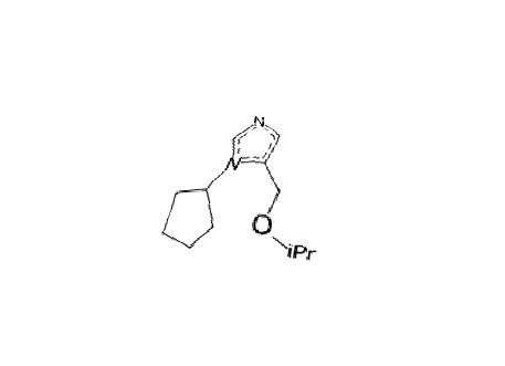 CC(C)OCc1cncn1C1CCCC1